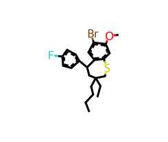 CCCCC1(CC)CSc2cc(OC)c(Br)cc2C(c2ccc(F)cc2)C1